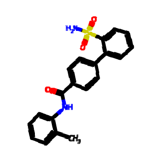 Cc1ccccc1NC(=O)c1ccc(-c2ccccc2S(N)(=O)=O)cc1